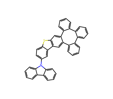 c1ccc2c(c1)-c1ccccc1-c1cc3sc4ccc(-n5c6ccccc6c6ccccc65)cc4c3cc1-c1ccccc1-2